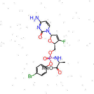 COC(=O)[C@H](C)N[P@@](=O)(OC[C@H]1O[C@@H](n2ccc(N)nc2=O)C=C1F)Oc1ccc(Br)cc1